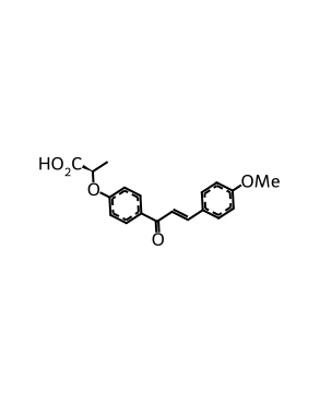 COc1ccc(/C=C/C(=O)c2ccc(O[C@H](C)C(=O)O)cc2)cc1